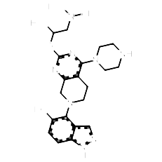 Cc1ccc2[nH]ncc2c1N1CCc2c(nc(OC(C)CN(C)C)nc2N2CCNCC2)C1